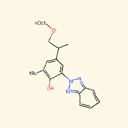 CCCCCCCCOCC(C)c1cc(-n2nc3ccccc3n2)c(O)c(C(C)(C)C)c1